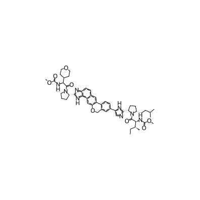 CC[C@H](C)[C@H](NC(=O)OC)C(=O)N1[C@@H](CCC(C)C)CC[C@H]1c1ncc(-c2ccc3c(c2)COc2cc4c(ccc5nc([C@@H]6CC[C@H](C)N6C(=O)[C@@H](NC(=O)OC)C6CCOCC6)[nH]c54)cc2-3)[nH]1